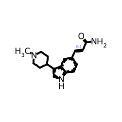 CN1CCC(c2c[nH]c3ccc(/C=C/C(N)=O)cc23)CC1